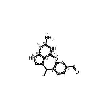 CC(c1ccc(C=O)cc1)c1c[nH]c2nc(N)[nH]c(=O)c12